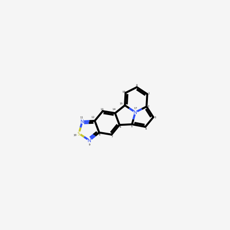 c1cc2ccc3c4cc5nsnc5cc4c(c1)n23